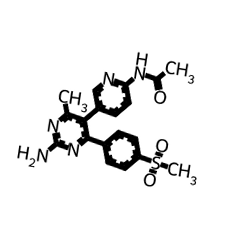 CC(=O)Nc1ccc(-c2c(C)nc(N)nc2-c2ccc(S(C)(=O)=O)cc2)cn1